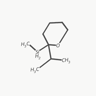 C[SiH2]C1(C(C)C)CCCCO1